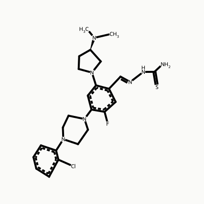 CN(C)[C@@H]1CCN(c2cc(N3CCN(c4ccccc4Cl)CC3)c(F)cc2C=NNC(N)=S)C1